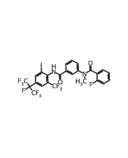 CN(C(=O)c1ccccc1F)c1cccc(C(=O)Nc2c(I)cc(C(F)(C(F)(F)F)C(F)(F)F)cc2C(F)(F)F)c1